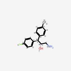 NC[C@H](O)[C@@H](c1ccc(F)cc1)c1ccc(C(F)(F)F)cc1